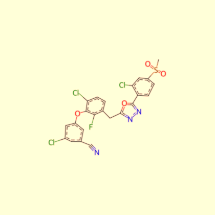 CS(=O)(=O)c1ccc(-c2nnc(Cc3ccc(Cl)c(Oc4cc(Cl)cc(C#N)c4)c3F)o2)c(Cl)c1